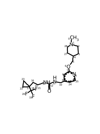 CN1CCC(COc2cc(CNC(=O)NCCC3(C(F)(F)F)CC3)ccn2)CC1